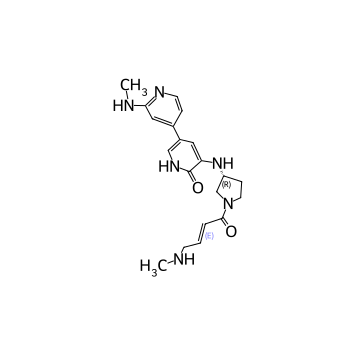 CNC/C=C/C(=O)N1CC[C@@H](Nc2cc(-c3ccnc(NC)c3)c[nH]c2=O)C1